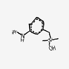 CC(C)Nc1cccc(C[Si](C)(C)O)c1